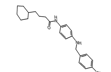 O=C(CCCC1CCCCC1)Nc1ccc(NCc2ccc(C(F)(F)F)cc2)cc1